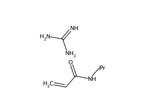 C=CC(=O)NC(C)C.N=C(N)N